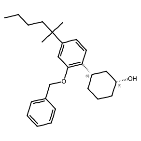 CCCCC(C)(C)c1ccc([C@H]2CCC[C@@H](O)C2)c(OCc2ccccc2)c1